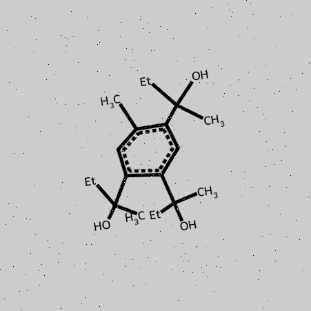 CCC(C)(O)c1cc(C(C)(O)CC)c(C(C)(O)CC)cc1C